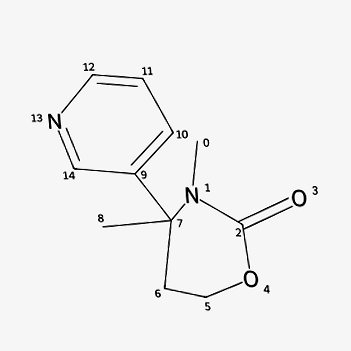 CN1C(=O)OCCC1(C)c1cccnc1